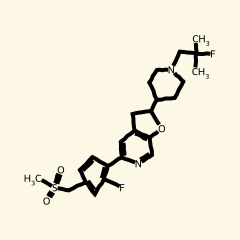 CC(C)(F)CN1CCC(C2Cc3cc(-c4ccc(CS(C)(=O)=O)cc4F)ncc3O2)CC1